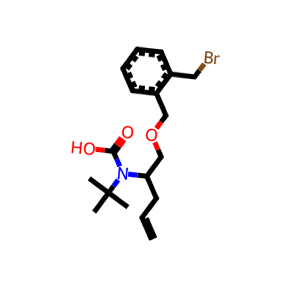 C=CCC(COCc1ccccc1CBr)N(C(=O)O)C(C)(C)C